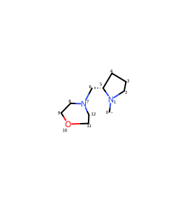 [CH2]N1CCC[C@H]1CN1CCOCC1